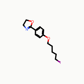 ICCCCCOc1ccc(C2=NCCO2)cc1